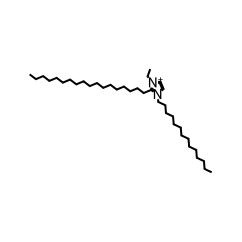 CCCCCCCCCCCCCCCCCCc1n(CCCCCCCCCCCCCC)cc[n+]1CC